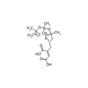 C[Si](C)(C)O[Si](C)(C)O[Si](C)(C)CCCC(=CC(=O)O)C(=O)O